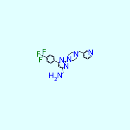 NCc1cc(-c2ccc(C(F)(F)F)cc2)nc(N2CCN(Cc3cccnc3)CC2)n1